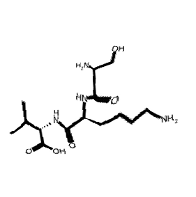 CC(C)[C@H](NC(=O)[C@H](CCCCN)NC(=O)[C@@H](N)CO)C(=O)O